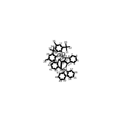 CC1=C2c3ccccc3[CH]1[Zr]([O]c1ccc(C)cc1C(C)(C)C)([O]c1ccc(C)cc1C(C)(C)C)[CH]1C(C)=C(c3ccccc31)[Si]2(c1ccccc1)c1ccccc1